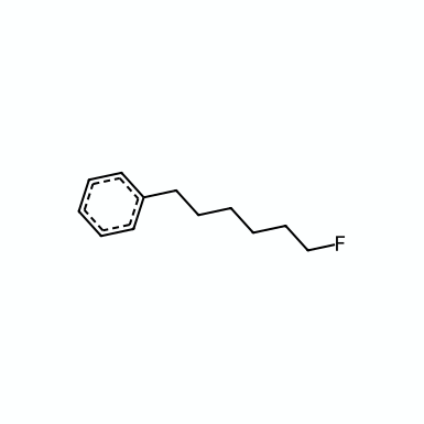 FCCCCCCc1ccccc1